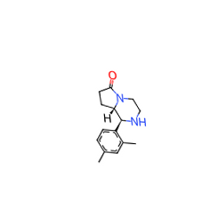 Cc1ccc([C@@H]2NCCN3C(=O)CC[C@@H]23)c(C)c1